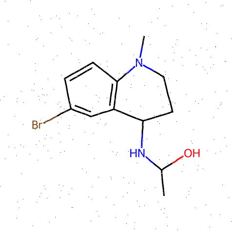 CC(O)NC1CCN(C)c2ccc(Br)cc21